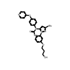 CC(C)(C)c1cc(N(C(N)=O)c2ccc(Oc3ccncc3)cc2)n(-c2cccc(OCCCO)c2)n1